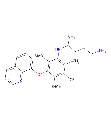 COc1c(NC(C)CCCN)c(C)c(C(F)(F)F)c(OC)c1Oc1cccc2cccnc12